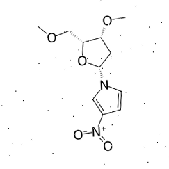 COC[C@H]1O[C@@H](n2ccc([N+](=O)[O-])c2)C[C@H]1OC